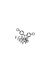 Clc1ccc([I+]c2ccc(Cl)cc2)cc1.O=S(=O)([O-])C(F)(F)C(F)(F)C(F)(F)C(F)(F)F